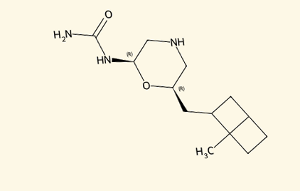 CC12CCC1CC2C[C@@H]1CNC[C@H](NC(N)=O)O1